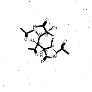 CC(=O)N[C@H]1[C@](O)(C(C)=O)O[C@H](C(O)C(C)=O)[C@](O)(C(C)=O)[C@@]1(O)C(C)=O